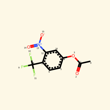 CC(=O)Oc1ccc(C(F)(F)F)c([N+](=O)[O-])c1